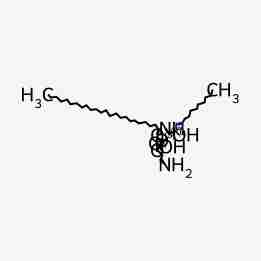 CCCCCCCCC/C=C/[C@@H](O)[C@H](COP(=O)(O)OCCN)NC(=O)CCCCCCCCCCCCCCCCCCCCCCC